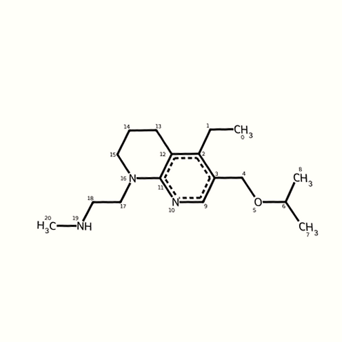 CCc1c(COC(C)C)cnc2c1CCCN2CCNC